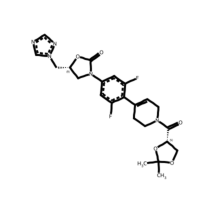 CC1(C)OC[C@@H](C(=O)N2CC=C(c3c(F)cc(N4C[C@H](Cn5cncn5)OC4=O)cc3F)CC2)O1